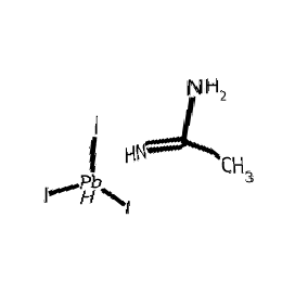 CC(=N)N.[I][PbH]([I])[I]